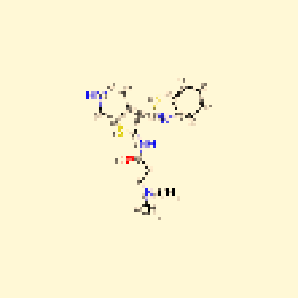 CN(C)CCC(=O)Nc1sc2c(c1-c1nc3ccccc3s1)CCNC2